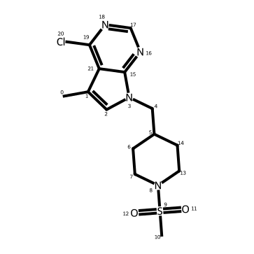 Cc1cn(CC2CCN(S(C)(=O)=O)CC2)c2ncnc(Cl)c12